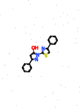 Oc1cc(-c2ccccc2)nn1-c1nc(-c2ccccc2)cs1